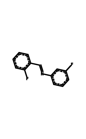 Fc1cccc(N=Cc2ccccc2F)c1